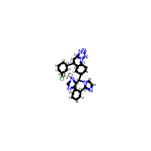 Cn1cncc1C(c1ccc2c(c1)c(-c1cccc(Cl)c1)cc1nnnn12)n1ccnc1-c1ccccc1